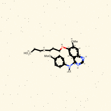 CCN(c1ccc(OC)cc1)c1ncnc2cc(OC)c(OCCCCCCC(=O)O)cc12